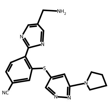 N#Cc1ccc(-c2ncc(CN)cn2)c(Sc2cnnc(N3CCCC3)c2)c1